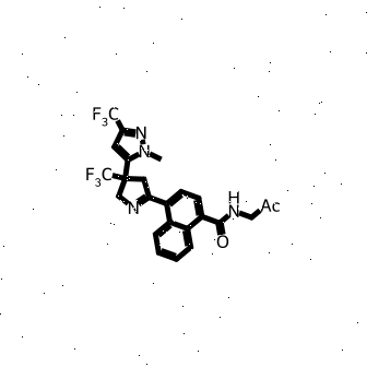 CC(=O)CNC(=O)c1ccc(C2=NCC(c3cc(C(F)(F)F)nn3C)(C(F)(F)F)C2)c2ccccc12